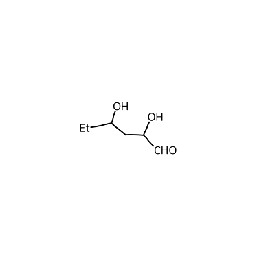 CCC(O)CC(O)C=O